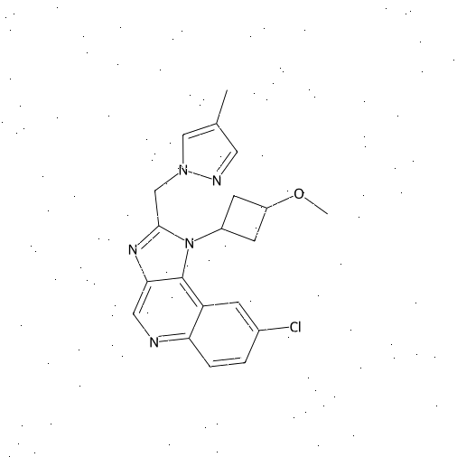 COC1CC(n2c(Cn3cc(C)cn3)nc3cnc4ccc(Cl)cc4c32)C1